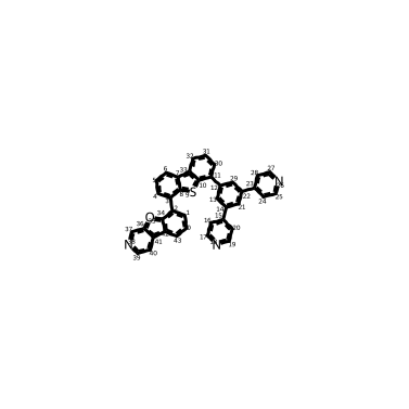 c1cc(-c2cccc3c2sc2c(-c4cc(-c5ccncc5)cc(-c5ccncc5)c4)cccc23)c2oc3cnccc3c2c1